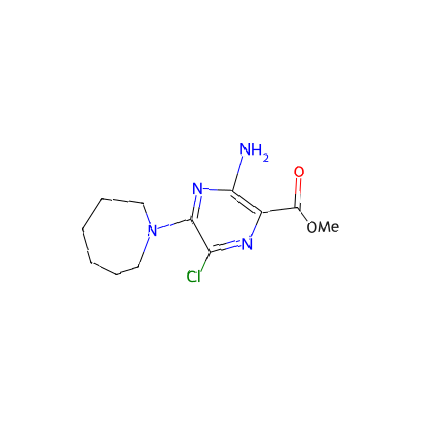 COC(=O)c1nc(Cl)c(N2CCCCCC2)nc1N